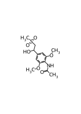 COc1cc(C(O)CS(C)(=O)=O)cc(OC)c1NC(C)=O